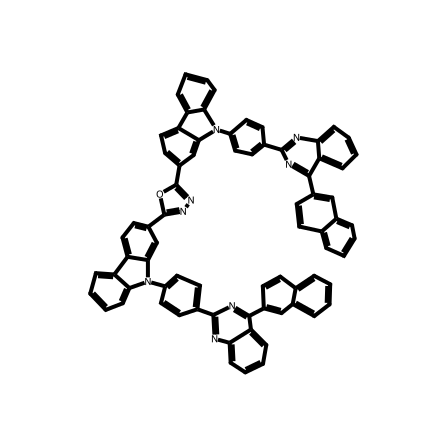 c1ccc2cc(-c3nc(-c4ccc(-n5c6ccccc6c6ccc(-c7nnc(-c8ccc9c%10ccccc%10n(-c%10ccc(-c%11nc(-c%12ccc%13ccccc%13c%12)c%12ccccc%12n%11)cc%10)c9c8)o7)cc65)cc4)nc4ccccc34)ccc2c1